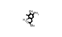 Cc1c(P)c(P)cc(CC(=O)C(C)(C)C)c1P